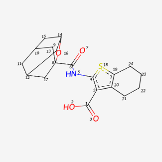 O=C(O)c1c(NC(=O)C23CC4CC(CC(C4)O2)C3)sc2c1CCCC2